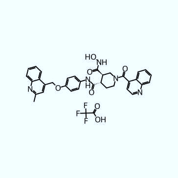 Cc1cc(COc2ccc(NC(=O)[C@H]3CCN(C(=O)c4ccnc5ccccc45)C[C@@H]3C(=O)NO)cc2)c2ccccc2n1.O=C(O)C(F)(F)F